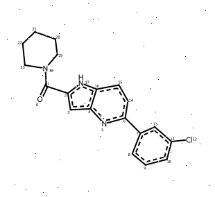 O=C(c1cc2nc(-c3cccc(Cl)c3)ccc2[nH]1)N1CCCCC1